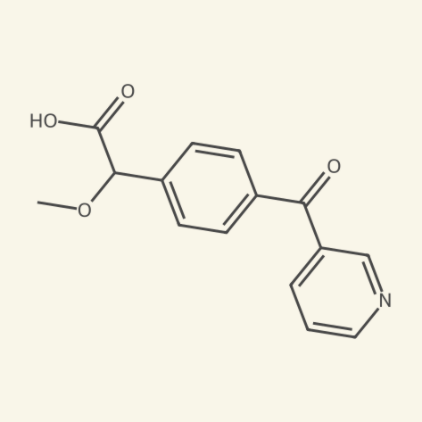 COC(C(=O)O)c1ccc(C(=O)c2cccnc2)cc1